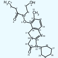 CCCC(=O)N(CCO)Oc1c(C)ccc2c1CN1CC(=O)N(C3CCCCC3)C1=N2